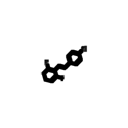 FC1=CC[CH]C(F)=C1C=Cc1ccc(Cl)cc1